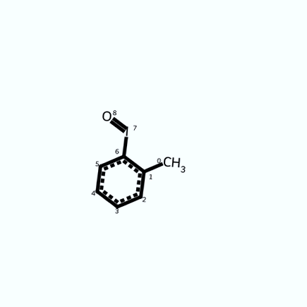 Cc1ccccc1I=O